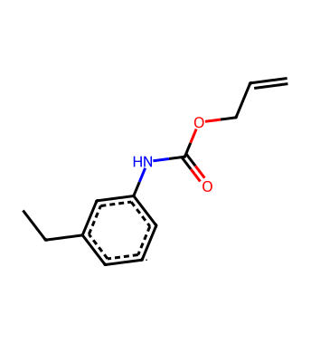 C=CCOC(=O)Nc1c[c]cc(CC)c1